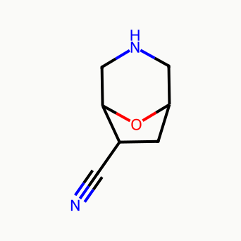 N#CC1CC2CNCC1O2